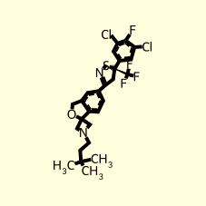 CC(C)(C)CCN1CC2(C1)OCc1cc(C3=NS[C@@](c4cc(Cl)c(F)c(Cl)c4)(C(F)(F)F)C3)ccc12